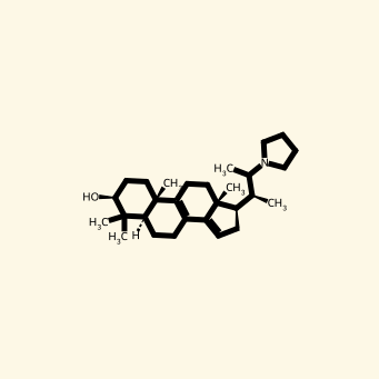 CC([C@@H](C)[C@H]1CC=C2C3=C(CC[C@@]21C)[C@@]1(C)CC[C@H](O)C(C)(C)[C@@H]1CC3)N1CCCC1